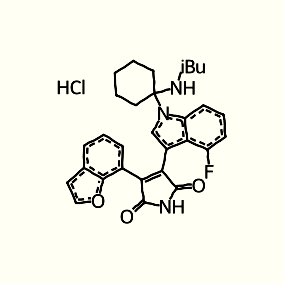 CCC(C)NC1(n2cc(C3=C(c4cccc5ccoc45)C(=O)NC3=O)c3c(F)cccc32)CCCCC1.Cl